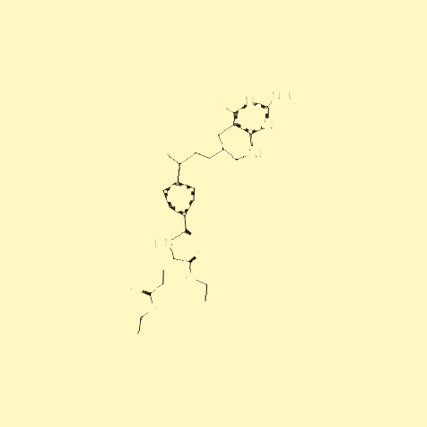 CCOC(=O)CC[C@H](NC(=O)c1ccc(C(C)CCC2CNc3nc(N)nc(O)c3C2)cc1)C(=O)OCC